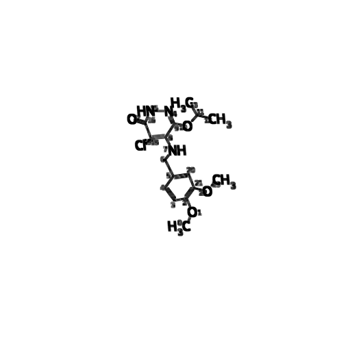 COc1ccc(CNc2c(OC(C)C)n[nH]c(=O)c2Cl)cc1OC